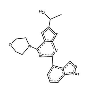 CC(O)c1cc2c(N3CCOCC3)nc(-c3cccc4[nH]ncc34)nc2s1